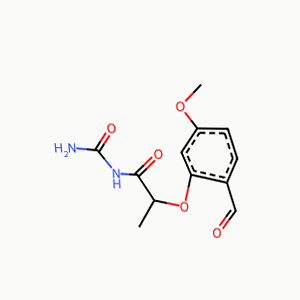 COc1ccc(C=O)c(OC(C)C(=O)NC(N)=O)c1